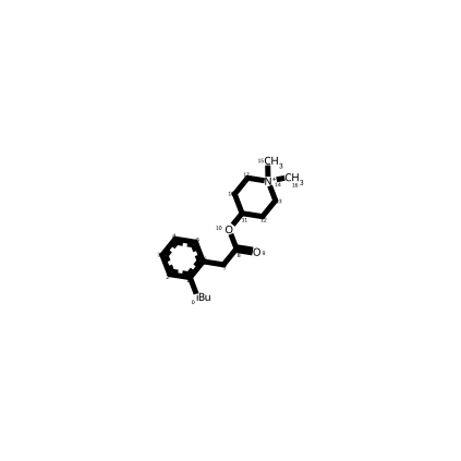 CCC(C)c1ccccc1CC(=O)OC1CC[N+](C)(C)CC1